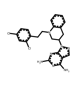 Nc1nc(N)c2cnn(C3Cc4ccccc4N(CCc4ccc(Cl)cc4Cl)C3)c2n1